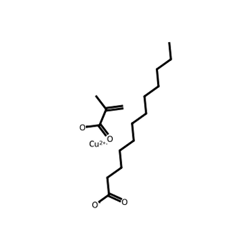 C=C(C)C(=O)[O-].CCCCCCCCCCCC(=O)[O-].[Cu+2]